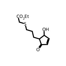 CCOC(=O)CSCCCC1C(=O)C=CC1O